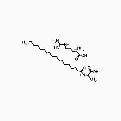 CCCCCCCCCCCCCCCCCC(=O)NC(C)C(=O)O.N=C(N)NCCC[C@H](N)C(=O)O